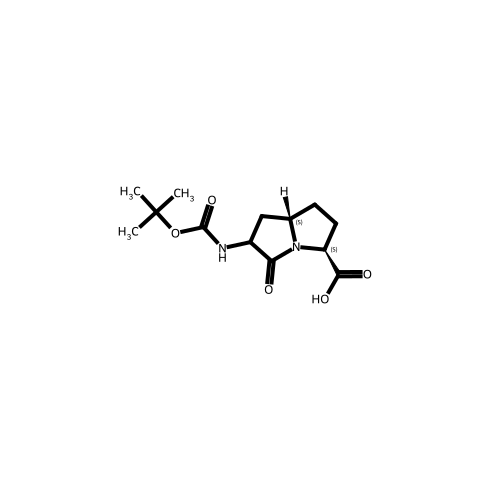 CC(C)(C)OC(=O)NC1C[C@@H]2CC[C@@H](C(=O)O)N2C1=O